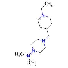 CCN1CCC(CN2CCN(N(C)C)CC2)CC1